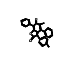 CC1=C(c2ccccc2)C2=C(c3ccc(C)cc3)C(=O)OC2=C(c2ccccc2)C1=O